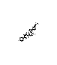 C#Cc1nc(NC(=O)N[C@@H](CO)c2ccc(N3CCCCC3)cn2)cs1